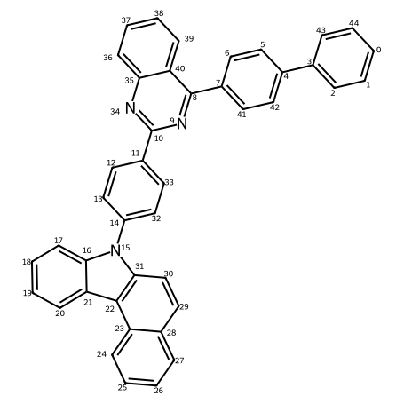 c1ccc(-c2ccc(-c3nc(-c4ccc(-n5c6ccccc6c6c7ccccc7ccc65)cc4)nc4ccccc34)cc2)cc1